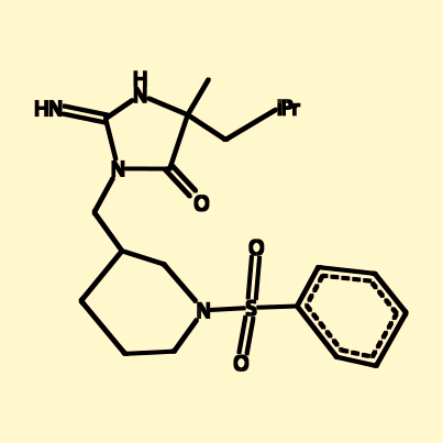 CC(C)CC1(C)NC(=N)N(CC2CCCN(S(=O)(=O)c3ccccc3)C2)C1=O